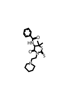 CC1(C)SC(=S)N(CCN2CCCCC2)C(=O)C1NC(=O)c1ccccc1